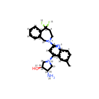 Cc1ccc2nc(N3CCC(F)(F)c4ccccc4C3)cc(N3C[C@H](N)[C@@H](O)C3)c2c1